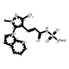 CCCCCS(=O)(=O)NC(=O)/C=C/c1c(C(F)(F)F)nn(C)c1-n1ccc2cccnc21